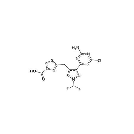 Nc1nc(Cl)cc(-c2nn(C(F)F)cc2Cc2nc(C(=O)O)cs2)n1